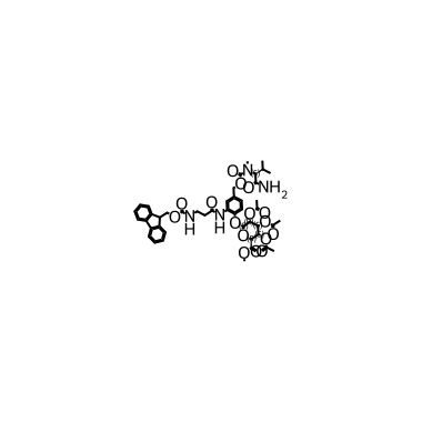 COC(=O)[C@H]1O[C@@H](Oc2ccc(COC(=O)N(C)[C@H](C(N)=O)C(C)C)cc2NC(=O)CCNC(=O)OCC2c3ccccc3-c3ccccc32)[C@H](OC(C)=O)[C@@H](OC(C)=O)[C@@H]1OC(C)=O